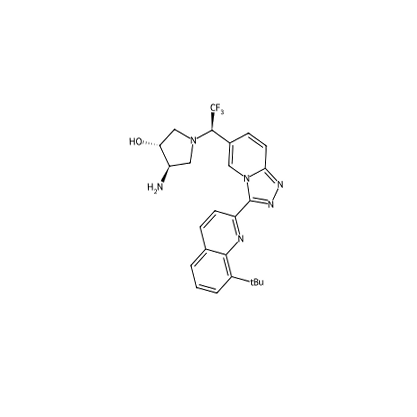 CC(C)(C)c1cccc2ccc(-c3nnc4ccc([C@@H](N5C[C@@H](N)[C@H](O)C5)C(F)(F)F)cn34)nc12